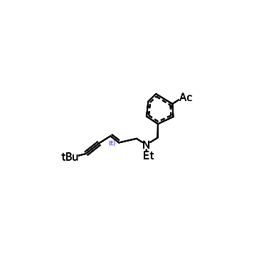 CCN(C/C=C/C#CC(C)(C)C)Cc1cccc(C(C)=O)c1